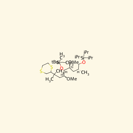 CO[C@@H](C[C@@H](C)CO[Si](C(C)C)(C(C)C)C(C)C)[C@@H](O[Si](C)(C)C(C)(C)C)[C@H](CC(C)(C)C1CSCCS1)OC